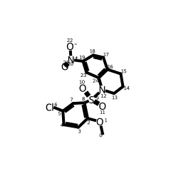 COc1ccc(Cl)cc1S(=O)(=O)N1CCCc2ccc([N+](=O)[O-])cc21